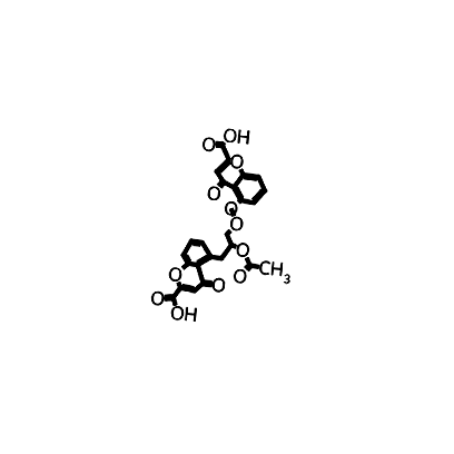 CC(=O)OC(COOc1cccc2oc(C(=O)O)cc(=O)c12)Cc1cccc2oc(C(=O)O)cc(=O)c12